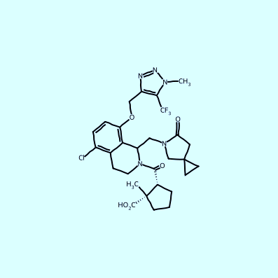 Cn1nnc(COc2ccc(Cl)c3c2C(CN2CC4(CC4)CC2=O)N(C(=O)[C@@H]2CCC[C@]2(C)C(=O)O)CC3)c1C(F)(F)F